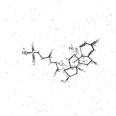 C[C@@H]1C[C@H]2[C@@H]3C[C@H](F)C4=CC(=O)C=C[C@]4(C)C3(F)[C@@H](O)C[C@]2(C)[C@H]1C(=O)COC(=O)CCS(=O)(=O)O